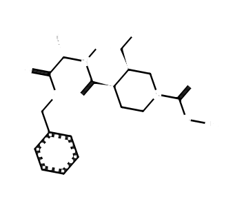 CC(C)[C@@H](C(=O)OCc1ccccc1)N(C)C(=O)[C@@H]1CCN(C(=O)OC(C)(C)C)C[C@@H]1CO